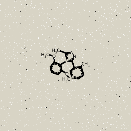 COc1cccc(OC)c1-n1c(C)nnc1-c1cnccc1C